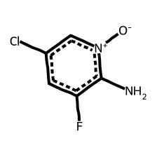 Nc1c(F)cc(Cl)c[n+]1[O-]